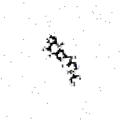 CN1C(=O)c2sccc2N(C)c2nc(NC(=N)/C=C\NC(=O)CCl)ncc21